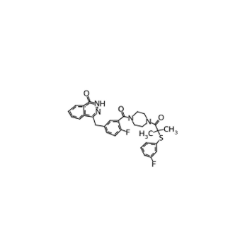 CC(C)(Sc1cccc(F)c1)C(=O)N1CCN(C(=O)c2cc(Cc3n[nH]c(=O)c4ccccc34)ccc2F)CC1